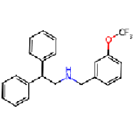 FC(F)(F)Oc1cccc(CNCC(c2ccccc2)c2ccccc2)c1